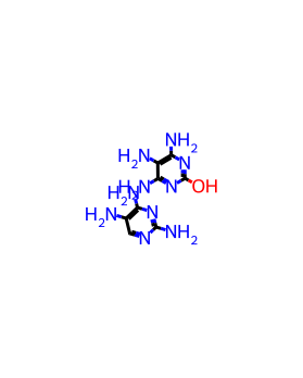 Nc1nc(O)nc(N)c1N.Nc1ncc(N)c(N)n1